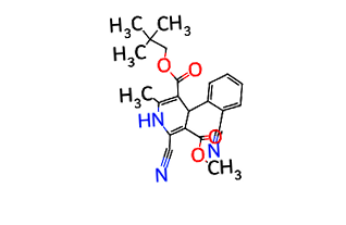 COC(=O)C1=C(C#N)NC(C)=C(C(=O)OCC(C)(C)C)C1c1ccccc1C#N